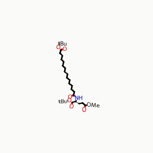 COC(=O)CC[C@H](NC(=O)CCCCCCCCCCCCCCC(=O)OC(C)(C)C)C(=O)OC(C)(C)C